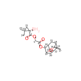 BC1(C(=O)OCC(=O)OC2C3CC4CC(C3)C(=C)OC2C4)CC1(C)C